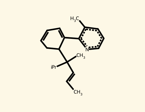 CC=CC(C)(C(C)C)C1CC=CC=C1c1ncccc1C